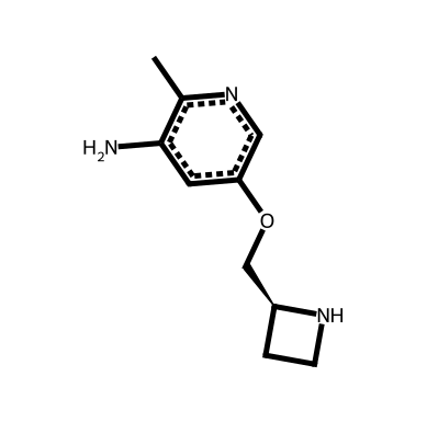 Cc1ncc(OC[C@@H]2CCN2)cc1N